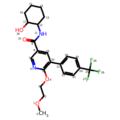 COCCOc1ncc(C(=O)NC2CCCCC2O)cc1-c1ccc(C(F)(F)F)cc1